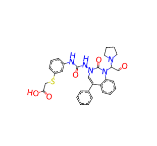 O=CC(N1CCCC1)N1C(=O)N(NC(=O)Nc2cccc(SCC(=O)O)c2)C=C(c2ccccc2)c2ccccc21